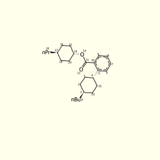 CCCC[C@H]1CC[C@H](c2ccccc2C(=O)O[C@H]2CC[C@H](CCC)CC2)CC1